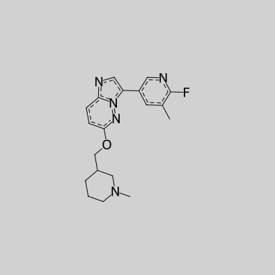 Cc1cc(-c2cnc3ccc(OCC4CCCN(C)C4)nn23)cnc1F